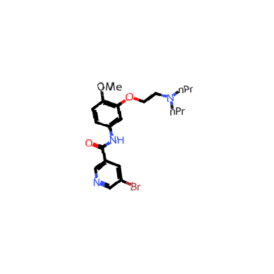 CCCN(CCC)CCOc1cc(NC(=O)c2cncc(Br)c2)ccc1OC